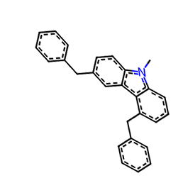 Cn1c2ccc(Cc3ccccc3)cc2c2c(Cc3ccccc3)cccc21